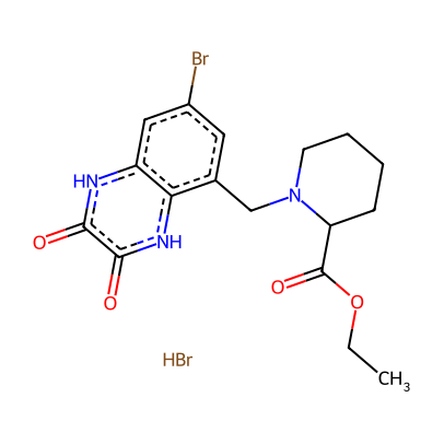 Br.CCOC(=O)C1CCCCN1Cc1cc(Br)cc2[nH]c(=O)c(=O)[nH]c12